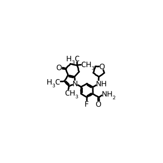 Cc1c2c(n(-c3cc(F)c(C(N)=O)c(NC4CCOC4)c3)c1C)CC(C)(C)CC2=O